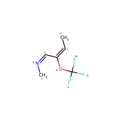 C/C=C(\C=N/C)OC(F)(F)F